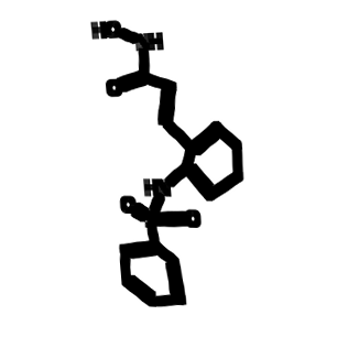 O=C(C=CC1=CCCC=C1NS(=O)(=O)c1ccccc1)NO